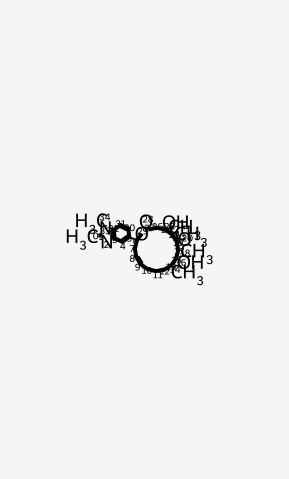 Cc1nc2cc([C@@H]3CC=CCCC[C@H](C)[C@H](O)[C@@H](C)C(=O)C(C)(C)[C@@H](O)CC(=O)O3)ccc2n1C